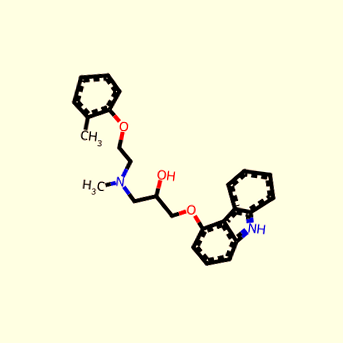 Cc1ccccc1OCCN(C)CC(O)COc1cccc2[nH]c3ccccc3c12